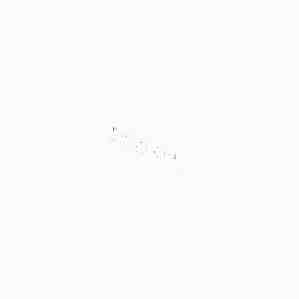 NC[C@H](NC(=O)c1ccc(-c2ccc(NC(=O)CNC3CCC3)cc2)cc1)C(=O)NO